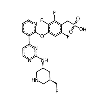 O=S(=O)(O)Cc1c(F)cc(Oc2ncccc2-c2ccnc(N[C@@H]3CNC[C@H](CF)C3)n2)c(F)c1F